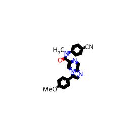 COc1ccc(-c2cnc3cnc(C(=O)N(C)c4ccc(C#N)cc4)cn23)cc1